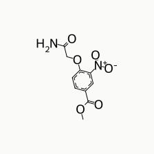 COC(=O)c1ccc(OCC(N)=O)c([N+](=O)[O-])c1